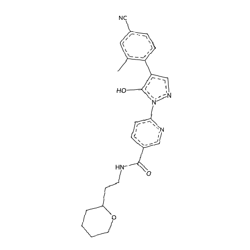 Cc1cc(C#N)ccc1-c1cnn(-c2ccc(C(=O)NCCC3CCCCO3)cn2)c1O